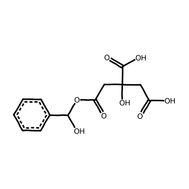 O=C(O)CC(O)(CC(=O)OC(O)c1ccccc1)C(=O)O